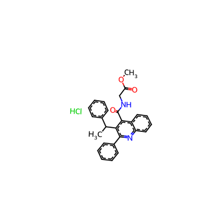 COC(=O)CNC(=O)c1c(C(C)c2ccccc2)c(-c2ccccc2)nc2ccccc12.Cl